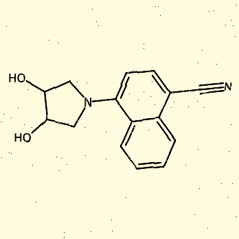 N#Cc1ccc(N2CC(O)C(O)C2)c2ccccc12